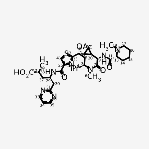 CC(=O)O[C@H](C[C@H](C(C)C)N(C)C(=O)[C@@H](NC(=O)[C@H]1CCCCN1C)C1CC1)c1nc(C(=O)N[C@@H](Cc2ncccn2)C[C@H](C)C(=O)O)cs1